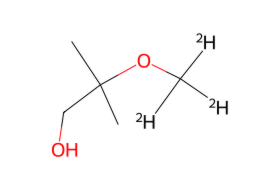 [2H]C([2H])([2H])OC(C)(C)CO